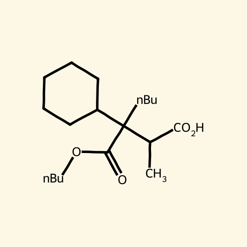 CCCCOC(=O)C(CCCC)(C1CCCCC1)C(C)C(=O)O